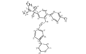 CN(C)S(=O)(=O)c1ccc(-c2ccc(Cl)cc2)c(COc2ccc(C3[CH]CCCC3)cc2)c1